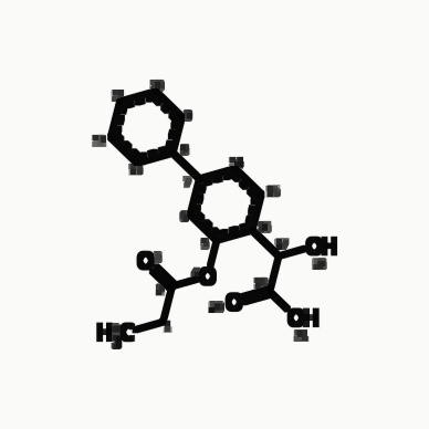 CCC(=O)Oc1cc(-c2ccccc2)ccc1C(O)C(=O)O